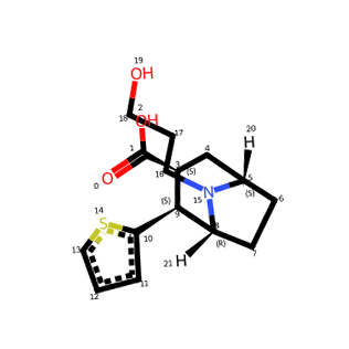 O=C(O)[C@H]1C[C@@H]2CC[C@H]([C@H]1c1cccs1)N2CCCO